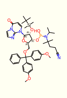 COc1ccc(C(OC[C@H]2O[C@@H](n3ccc(=O)n4ccnc34)[C@H](O[Si](C)(C)C(C)(C)C)[C@@H]2OP(O)N(C(C)C)C(C)(C)CCC#N)(c2ccccc2)c2ccc(OC)cc2)cc1